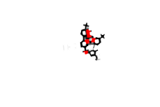 Cl.Cl.[CH2]=[Zr]([C]1=C(C)C([Si](C)(C)C)=CC1C)([c]1ccc(C(C)(C)C)cc1)([c]1ccc(C(C)(C)C)cc1)[c]1c(C(C)(C)C)ccc2c1Cc1cc(C(C)(C)C)ccc1-2